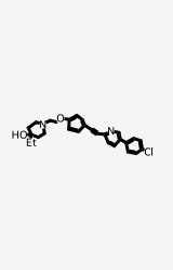 CCC1(O)CCN(CCOc2ccc(C#Cc3ccc(-c4ccc(Cl)cc4)cn3)cc2)CC1